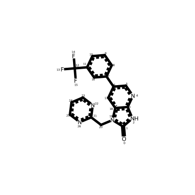 O=c1[nH]c2ncc(-c3cccc(C(F)(F)F)c3)cc2n1Cc1ncccn1